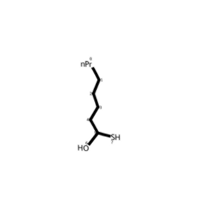 CCCCCCCC(O)S